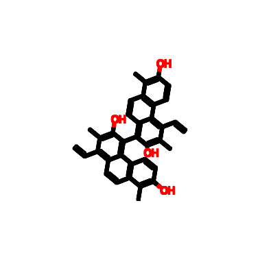 C=Cc1c(C)c(O)c(-c2c(O)c(C)c(C=C)c3c2ccc2c(C)c(O)ccc23)c2c1ccc1c(C)c(O)ccc12